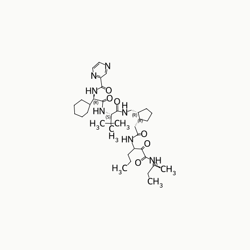 CCCC(NC(=O)C[C@H]1CCC[C@H]1CNC(=O)[C@@H](NC(=O)[C@H](NC(=O)c1cnccn1)C1CCCCC1)C(C)(C)C)C(=O)C(=O)N[C@@H](C)CC